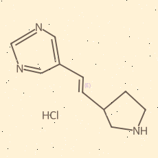 C(=C\C1CCNC1)/c1cncnc1.Cl